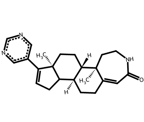 C[C@]12CCNC(=O)C=C1CC[C@H]1C3CC=C(c4cncnc4)[C@@]3(C)CC[C@@H]12